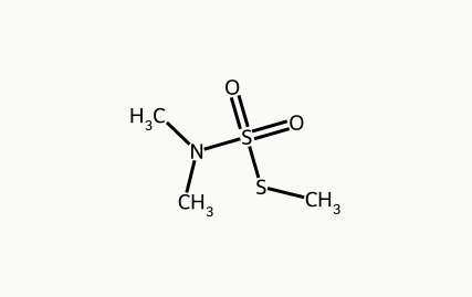 CSS(=O)(=O)N(C)C